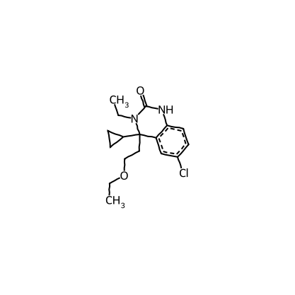 CCOCCC1(C2CC2)c2cc(Cl)ccc2NC(=O)N1CC